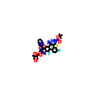 CC(C)(C)OC(=O)Nc1sc2c(F)ccc(-c3c(C(F)(F)F)cc4c(N5CC6CCC(C5)N6C(=O)OC(C)(C)C)nc(OCC5COCC5(C)O)nc4c3F)c2c1C#N